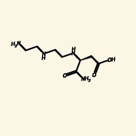 NCCNCCN[C@@H](CC(=O)O)C(N)=O